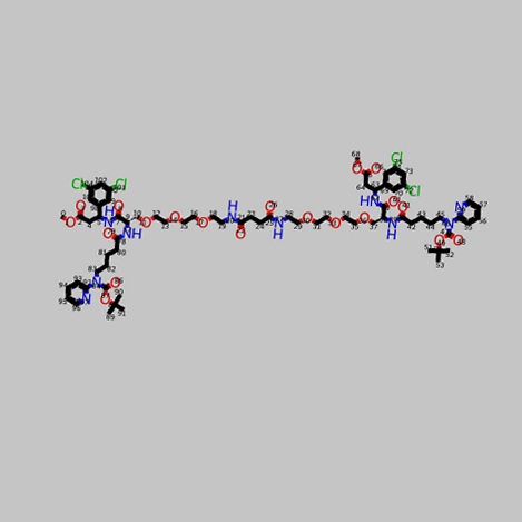 COC(=O)CC(NC(=O)[C@H](COCCOCCOCCNC(=O)CCC(=O)NCCOCCOCCOC[C@H](NC(=O)CCCCN(C(=O)OC(C)(C)C)c1ccccn1)C(=O)NC(CC(=O)OC)c1cc(Cl)cc(Cl)c1)NC(=O)CCCCN(C(=O)OC(C)(C)C)c1ccccn1)c1cc(Cl)cc(Cl)c1